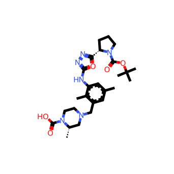 Cc1cc(CN2CCN(C(=O)O)[C@@H](C)C2)c(C)c(Nc2nnc([C@@H]3CCCN3C(=O)OC(C)(C)C)o2)c1